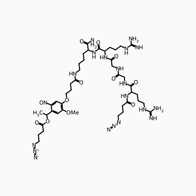 COc1cc(C(C)OC(=O)CCCN=[N+]=[N-])c(N=O)cc1OCCCC(=O)NCCCCC(NC(=O)C(CCCNC(=N)N)NC(=O)CNC(=O)CNC(=O)C(CCCNC(=N)N)NC(=O)CCCN=[N+]=[N-])C(N)=O